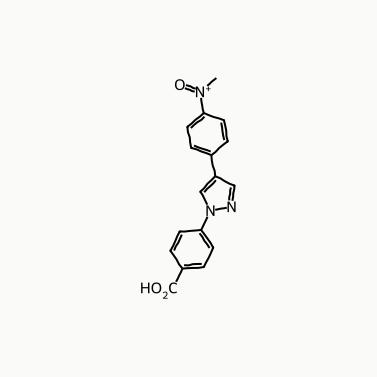 C[N+](=O)c1ccc(-c2cnn(-c3ccc(C(=O)O)cc3)c2)cc1